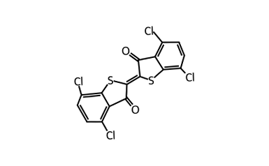 O=C1/C(=C2\Sc3c(Cl)ccc(Cl)c3C2=O)Sc2c(Cl)ccc(Cl)c21